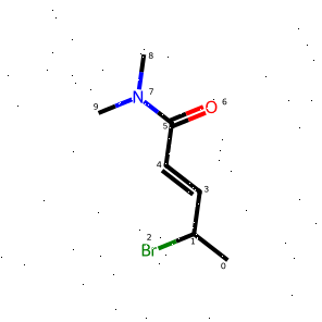 CC(Br)C=CC(=O)N(C)C